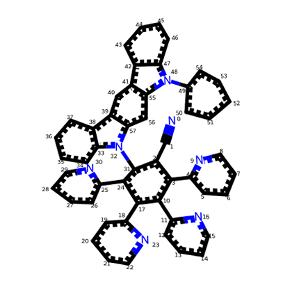 N#Cc1c(-c2ccccn2)c(-c2ccccn2)c(-c2ccccn2)c(-c2ccccn2)c1-n1c2ccccc2c2cc3c4ccccc4n(-c4ccccc4)c3cc21